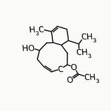 CC(=O)OC1CC=CCC(O)CC2C(C)=CCC(C(C)C)C2C1